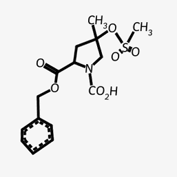 CC1(OS(C)(=O)=O)CC(C(=O)OCc2ccccc2)N(C(=O)O)C1